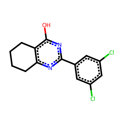 Oc1nc(-c2cc(Cl)cc(Cl)c2)nc2c1CCCC2